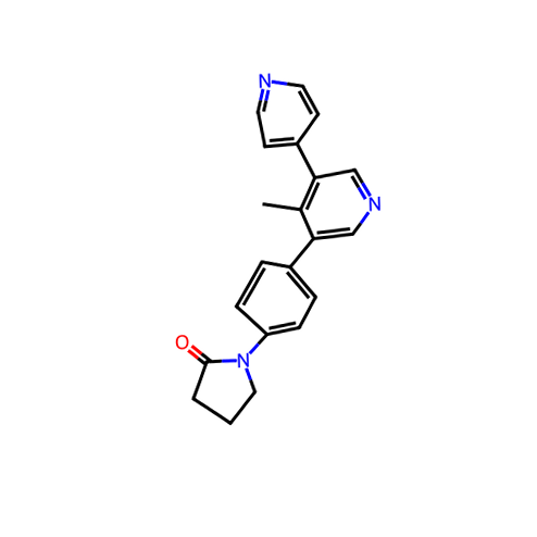 Cc1c(-c2ccncc2)cncc1-c1ccc(N2CCCC2=O)cc1